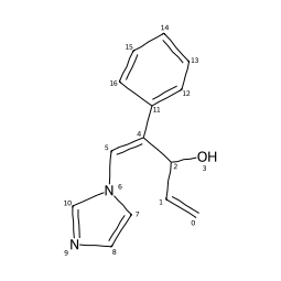 C=CC(O)C(=Cn1ccnc1)c1ccccc1